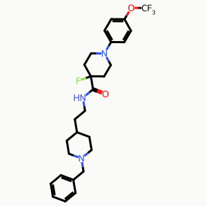 O=C(NCCC1CCN(Cc2ccccc2)CC1)C1(F)CCN(c2ccc(OC(F)(F)F)cc2)CC1